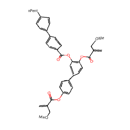 C=C(COC)C(=O)Oc1ccc(-c2ccc(OC(=O)C(=C)COC)c(OC(=O)c3ccc(-c4ccc(CCCCC)cc4)cc3)c2)cc1